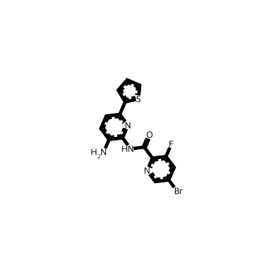 Nc1ccc(-c2cccs2)nc1NC(=O)c1ncc(Br)cc1F